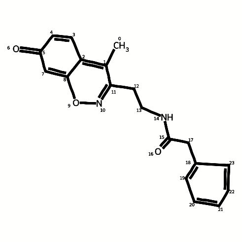 Cc1c2ccc(=O)cc-2onc1CCNC(=O)Cc1ccccc1